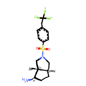 N[C@@H]1CC[C@H]2CN(S(=O)(=O)c3ccc(C(F)(F)F)cc3)C[C@H]21